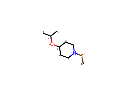 CSN1CCC(OC(C)C)CC1